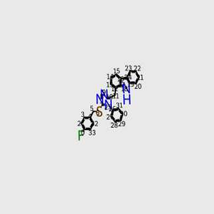 Fc1ccc(CSc2nnc(Cc3cccc4c3[nH]c3ccccc34)n2-c2ccccc2)cc1